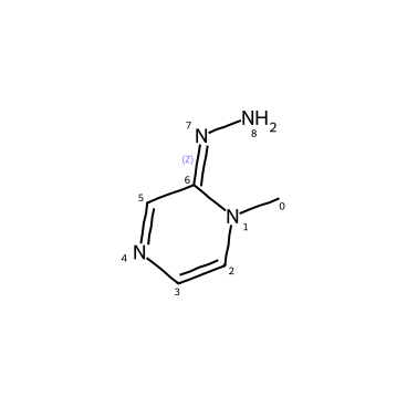 Cn1ccnc/c1=N/N